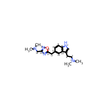 CN(C)CCc1c[nH]c2ccc(Cc3nc(CN(C)C)no3)cc12